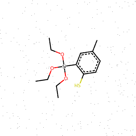 CCO[Si](OCC)(OCC)c1cc(C)ccc1S